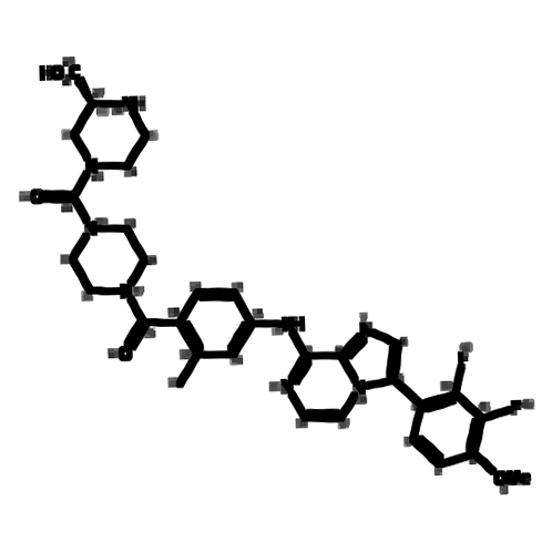 COc1ccc(-c2cnc3c(Nc4ccc(C(=O)N5CCN(C(=O)N6CCN[C@H](C(=O)O)C6)CC5)c(C)c4)nccn23)c(F)c1F